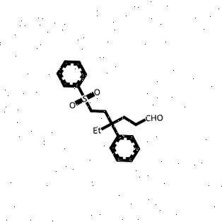 [CH2]CC(CCC=O)(CCS(=O)(=O)c1ccccc1)c1ccccc1